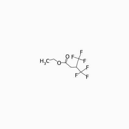 CCOC(=O)CC(C(F)(F)F)C(F)(F)F